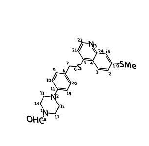 CSc1ccc2c(SCc3ccc(N4CCN(C=O)CC4)cc3)ccnc2c1